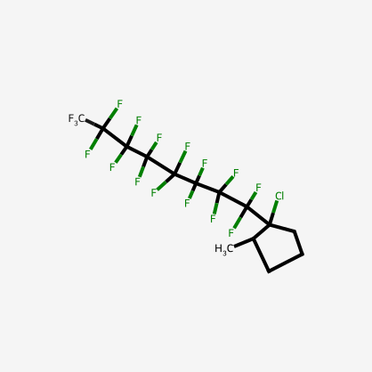 CC1CCCC1(Cl)C(F)(F)C(F)(F)C(F)(F)C(F)(F)C(F)(F)C(F)(F)C(F)(F)C(F)(F)F